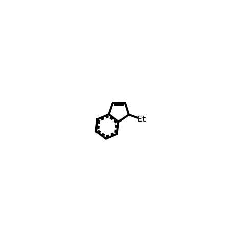 CC[C]1C=Cc2ccccc21